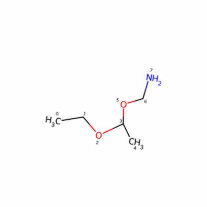 CCOC(C)OCN